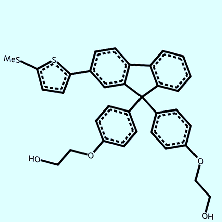 CSc1ccc(-c2ccc3c(c2)C(c2ccc(OCCO)cc2)(c2ccc(OCCO)cc2)c2ccccc2-3)s1